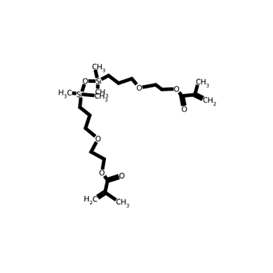 C=C(C)C(=O)OCCOCCC[Si](C)(C)O[Si](C)(C)CCCOCCOC(=O)C(=C)C